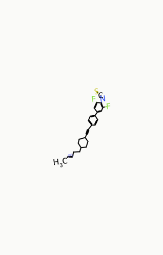 C/C=C/CCC1CCC(C#Cc2ccc(-c3cc(F)c(N=C=S)c(F)c3)cc2)CC1